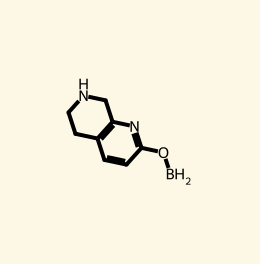 BOc1ccc2c(n1)CNCC2